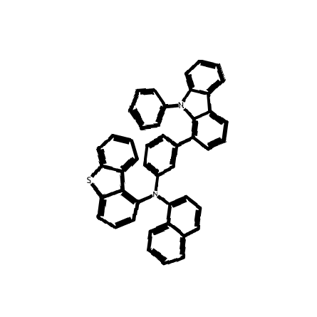 c1ccc(-n2c3ccccc3c3cccc(-c4cccc(N(c5cccc6ccccc56)c5cccc6sc7ccccc7c56)c4)c32)cc1